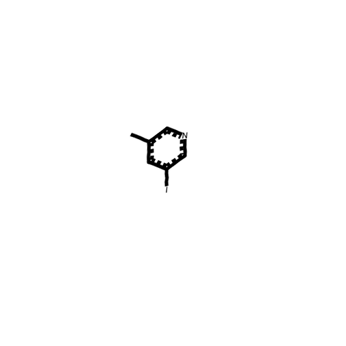 Cc1cncc(I)c1